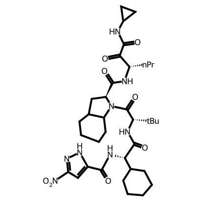 CCC[C@H](NC(=O)[C@@H]1CC2CCCCC2N1C(=O)[C@@H](NC(=O)[C@@H](NC(=O)c1cc([N+](=O)[O-])n[nH]1)C1CCCCC1)C(C)(C)C)C(=O)C(=O)NC1CC1